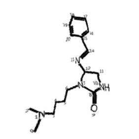 CN(C)CCCCN1C(=O)NCC1N=Cc1ccccc1